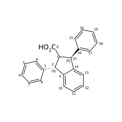 O=C(O)C1[C@@H](c2ccccc2)c2ccccc2[C@@H]1c1ccccc1